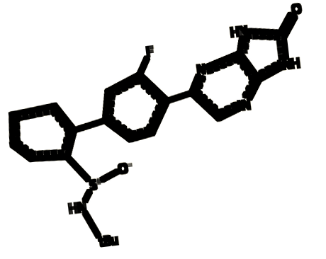 CC(C)(C)N[S+]([O-])c1ccccc1-c1ccc(-c2cnc3[nH]c(=O)[nH]c3n2)c(F)c1